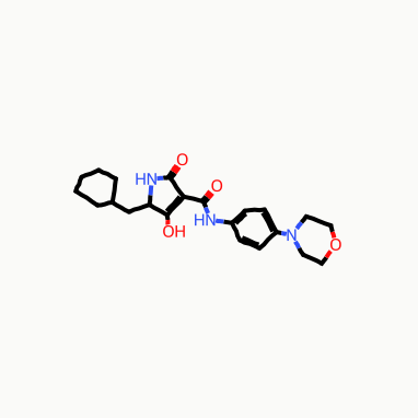 O=C(Nc1ccc(N2CCOCC2)cc1)C1=C(O)C(CC2CCCCC2)NC1=O